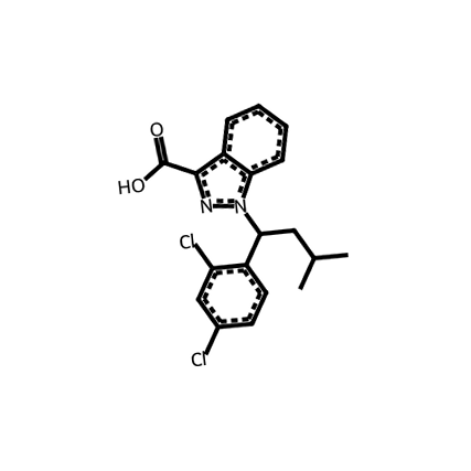 CC(C)CC(c1ccc(Cl)cc1Cl)n1nc(C(=O)O)c2ccccc21